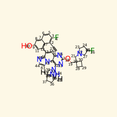 C#Cc1c(F)ccc2cc(O)cc(-c3cc4nc(OCC5(CN6CC[C@@H](F)C6)CCC5)nc(N5C[C@H]6CC[C@@H](C5)N6)c4n4ccnc34)c12